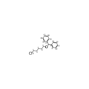 ClCCCCCOC(c1ccccc1)c1ccccc1